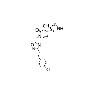 Cc1c(-c2cn[nH]c2)ccn(Cc2nc(CCc3ccc(Cl)cc3)no2)c1=O